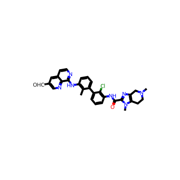 Cc1c(Nc2nccc3cc(C=O)cnc23)cccc1-c1cccc(NC(=O)c2nc3c(n2C)CCN(C)C3)c1Cl